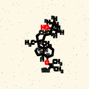 [2H]C([2H])([2H])C(O)(CCC[C@@](C)(CC=O)[C@H]1CC[C@H]2[C@@H](O[Si](C)(C)C(C)(C)C)CCC[C@]12C)C([2H])([2H])[2H]